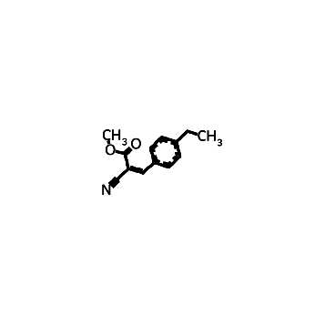 CCc1ccc(C=C(C#N)C(=O)OC)cc1